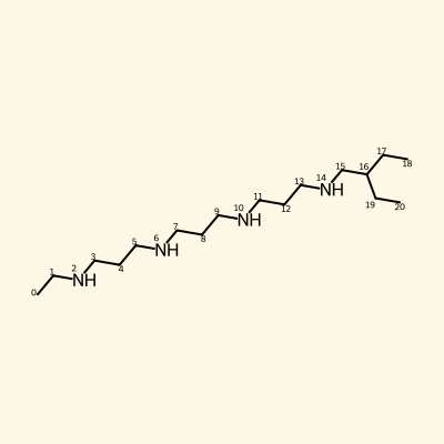 CCNCCCNCCCNCCCNCC(CC)CC